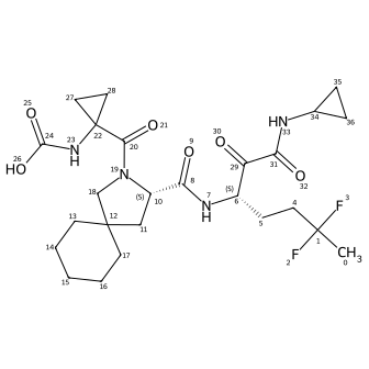 CC(F)(F)CC[C@H](NC(=O)[C@@H]1CC2(CCCCC2)CN1C(=O)C1(NC(=O)O)CC1)C(=O)C(=O)NC1CC1